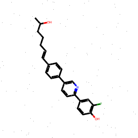 CC(O)CCCC=Cc1ccc(-c2ccc(-c3ccc(O)c(F)c3)nc2)cc1